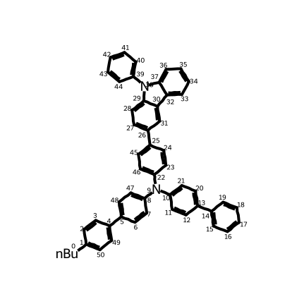 CCCCc1ccc(-c2ccc(N(c3ccc(-c4ccccc4)cc3)c3ccc(-c4ccc5c(c4)c4ccccc4n5-c4ccccc4)cc3)cc2)cc1